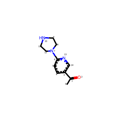 CC(=O)c1ccc(N2CCNCC2)nc1